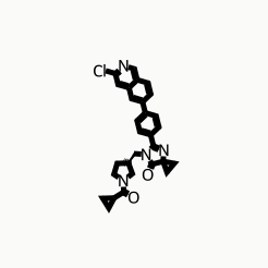 O=C(C1CC1)N1CC[C@@H](CN2C(=O)C3(CC3)N=C2c2ccc(-c3ccc4cnc(Cl)cc4c3)cc2)C1